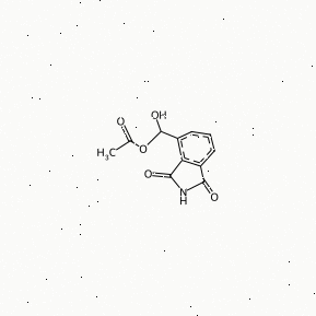 CC(=O)OC(O)c1cccc2c1C(=O)NC2=O